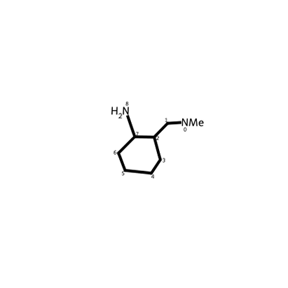 CNCC1CCCCC1N